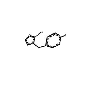 CC(=O)c1sccc1Cc1ccc(F)cc1